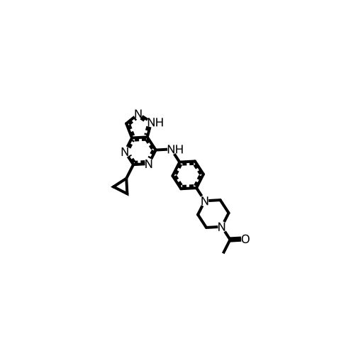 CC(=O)N1CCN(c2ccc(Nc3nc(C4CC4)nc4cn[nH]c34)cc2)CC1